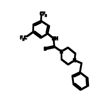 FC(F)(F)c1cc(NC(=S)N2CCN(Cc3ccccc3)CC2)cc(C(F)(F)F)c1